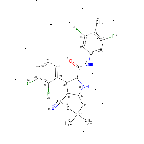 Cc1c(F)cc(NC(=O)C2NC(CC(C)(C)C)C(C#N)C2c2cccc(Cl)c2F)cc1F